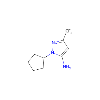 Nc1cc(C(F)(F)F)nn1C1CCCC1